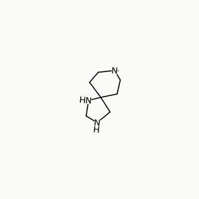 C1CC2(CC[N]1)CNCN2